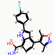 Cc1noc(C)c1-c1ccc(C(N)O)c2[nH]c(-c3ccc(F)cc3)cc12